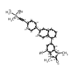 CC(C)c1cc(-c2cccc3cc(-c4ccc(C#C[Si](C)(C)C(C)(C)C)nc4)ncc23)cc2c1n(C)c(=O)n2C